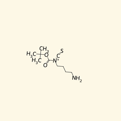 CC(C)(C)OC(=O)[N+](=C=S)CCCCN